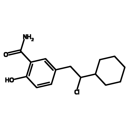 NC(=O)c1cc(CC(Cl)C2CCCCC2)ccc1O